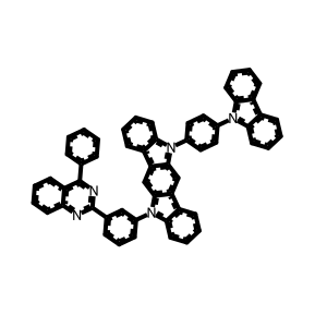 c1ccc(-c2nc(-c3cccc(-n4c5ccccc5c5cc6c(cc54)c4ccccc4n6-c4ccc(-n5c6ccccc6c6ccccc65)cc4)c3)nc3ccccc23)cc1